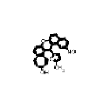 Cc1ccc(C2c3c(ccc4c3C#CC(O)C=C4)Oc3ccc4ccc(N=O)cc4c32)o1